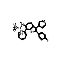 CN(O[SH](=O)=O)c1ccc2c(-c3ccncc3)c(-c3ccc(F)cc3)[nH]c2c1C1=CC=CC=CN1